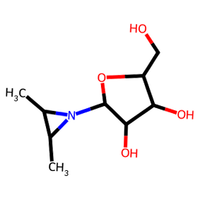 CC1C(C)N1C1OC(CO)C(O)C1O